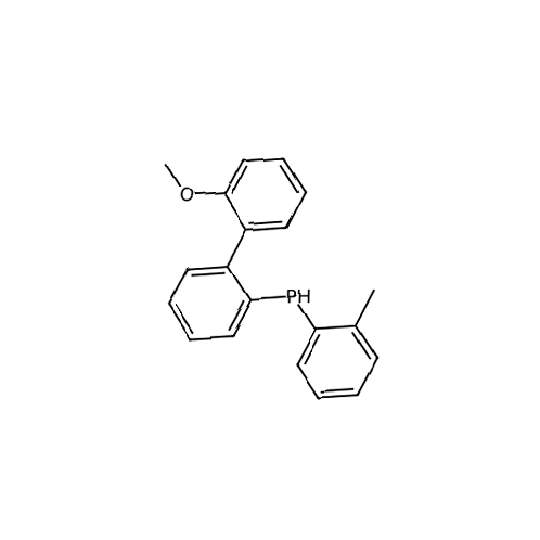 COc1ccccc1-c1ccccc1Pc1ccccc1C